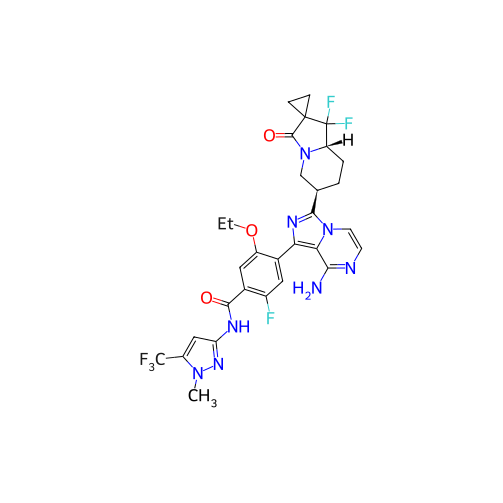 CCOc1cc(C(=O)Nc2cc(C(F)(F)F)n(C)n2)c(F)cc1-c1nc([C@@H]2CC[C@@H]3N(C2)C(=O)C2(CC2)C3(F)F)n2ccnc(N)c12